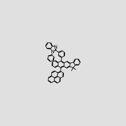 CC1(C)c2ccccc2-c2cc3c(-c4cccc(-c5nc6ccccc6n5-c5ccccc5)c4)c4ccccc4c(-c4ccc5ccc6cccc7ccc4c5c67)c3cc21